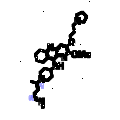 C=N/C=C\C=C(/C)N1CCC(Nc2c3c(nc4cc(OCCCN5CCCC5)c(OC)nc24)CCCC3)CC1